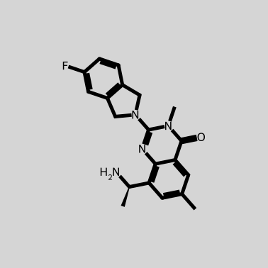 Cc1cc([C@@H](C)N)c2nc(N3Cc4ccc(F)cc4C3)n(C)c(=O)c2c1